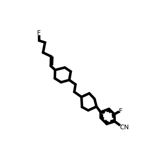 N#Cc1ccc(C2CCC(CCC3CCC(/C=C/CCCF)CC3)CC2)cc1F